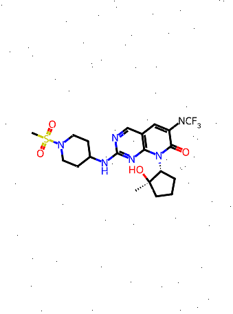 C[C@@]1(O)CCC[C@H]1n1c(=O)c(NC(F)(F)F)cc2cnc(NC3CCN(S(C)(=O)=O)CC3)nc21